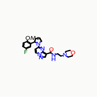 COc1ccc(F)cc1C1CCCN1c1ccn2ncc(C(=O)NCCN3CCOCC3)c2n1